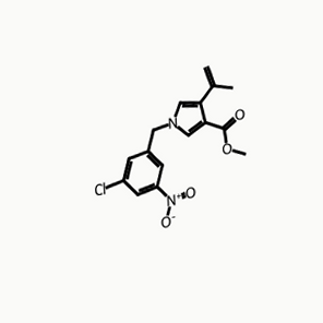 C=C(C)c1cn(Cc2cc(Cl)cc([N+](=O)[O-])c2)cc1C(=O)OC